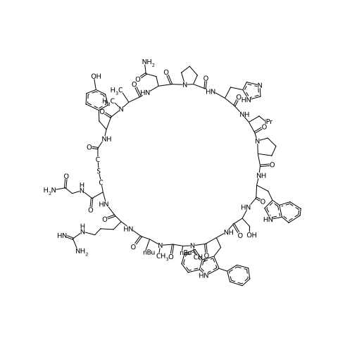 CCCCC1C(=O)N(C)C(CCCC)C(=O)NC(CCCNC(=N)N)C(=O)NC(C(=O)NCC(N)=O)CSCC(=O)NC(Cc2ccc(O)cc2)C(=O)N(C)C(C)C(=O)NC(CC(N)=O)C(=O)N2CCCC2C(=O)NC(Cc2cnc[nH]2)C(=O)NC(CC(C)C)C(=O)N2CCCC2C(=O)NC(Cc2c[nH]c3ccccc23)C(=O)NC(CO)C(=O)NC(Cc2c(-c3ccccc3)[nH]c3ccccc23)C(=O)N1C